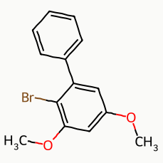 COc1cc(OC)c(Br)c(-c2ccccc2)c1